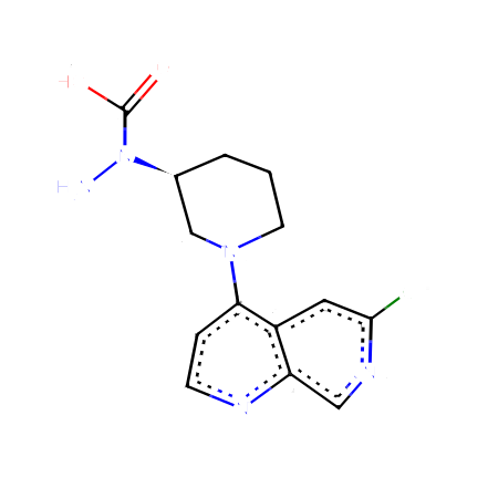 NN(C(=O)O)[C@H]1CCCN(c2ccnc3cnc(Cl)cc23)C1